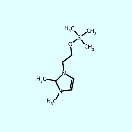 CC1N(C)C=CN1CCO[Si](C)(C)C